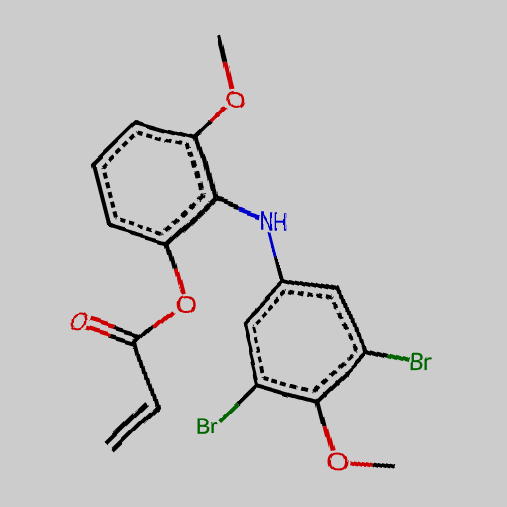 C=CC(=O)Oc1cccc(OC)c1Nc1cc(Br)c(OC)c(Br)c1